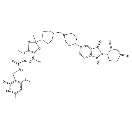 CSc1cc(C)[nH]c(=O)c1CNC(=O)c1cc(Cl)c2c(c1C)OC(C)(C1CCC(CN3CCN(c4ccc5c(c4)C(=O)N(C4CCC(=O)NC4=O)C5=O)CC3)CC1)O2